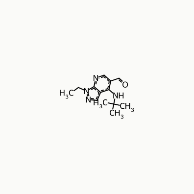 CCn1ncc2c(NC(C)(C)C)c(C=O)cnc21